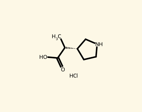 CC(C(=O)O)[C@H]1CCNC1.Cl